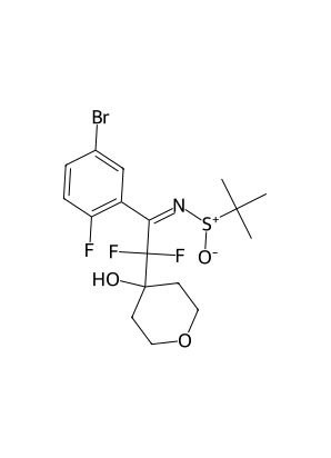 CC(C)(C)[S+]([O-])N=C(c1cc(Br)ccc1F)C(F)(F)C1(O)CCOCC1